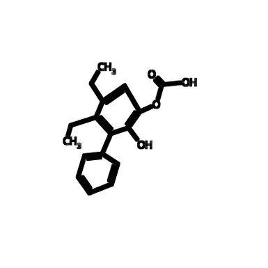 CCc1cc(OC(=O)O)c(O)c(-c2ccccc2)c1CC